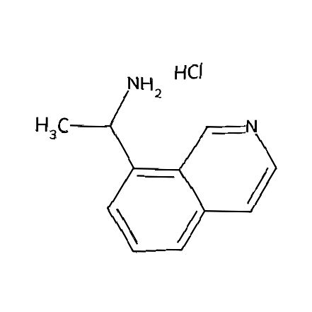 CC(N)c1cccc2ccncc12.Cl